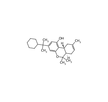 CC1=CC[C@@H]2[C@@H](C1)c1c(O)cc(C(C)(C)C3CCCCC3)cc1OC2(C)C